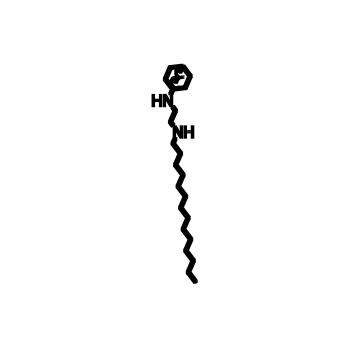 CCCCCCCCCCCCCCNCCNC12CCC(CC1)CC2